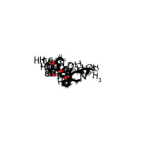 CC[C@]1(O)C[C@@H]2CN(CCc3c([nH]c4ccccc34)C(C(=O)CO)(c3cc4c(cc3CO)N(C=O)[C@@H]3[C@]45CCN4CC=C[C@@](CC)(C(OC(C)=O)[C@]3(O)C(=O)OC)[C@H]45)C2)C1